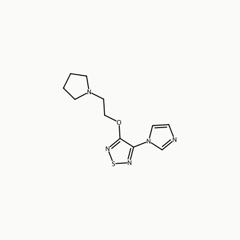 c1cn(-c2nsnc2OCCN2CCCC2)cn1